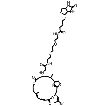 C/C(Br)=C\[C@@H]1Cc2nc(cs2)C(C)C[C@@H](NCC(=O)NCCOCCOCCNC(=O)CCCC[C@@H]2SCC3NC(=O)NC32)CC(=O)O[C@@H](C)C/C(C)=C/C=C\C(=O)O1